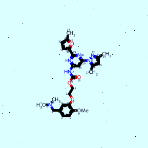 COc1ccc(CN(C)C)cc1OCCOC(=O)Nc1cc(-n2nc(C)cc2C)nc(-c2ccc(C)o2)n1